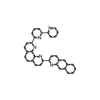 c1ccc(-c2cccc(-c3ccc4ccc5ccc(-c6ccc7cc8ccccc8cc7n6)nc5c4n3)n2)nc1